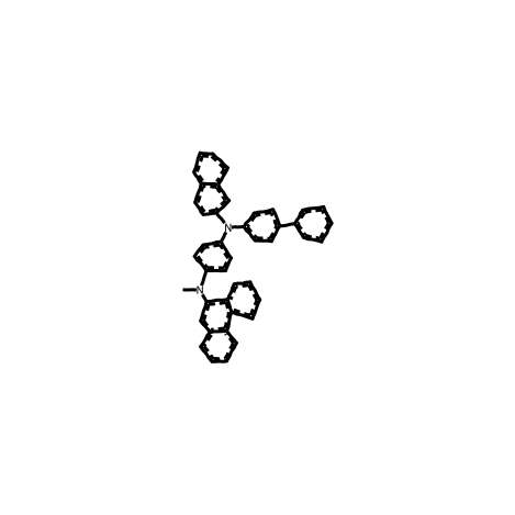 CN(c1ccc(N(c2ccc(-c3ccccc3)cc2)c2ccc3ccccc3c2)cc1)c1cc2ccccc2c2ccccc12